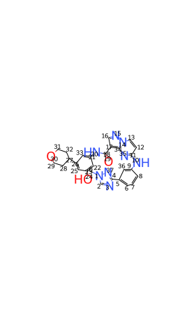 Cn1cnc(-c2cccc(Nc3ccn4ncc(C(=O)Nc5cc(O)cc(C6CCOCC6)c5)c4n3)c2)n1